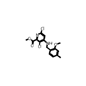 COC(=O)c1nc(Cl)cc(NCc2ccc(C)cc2OC)c1Cl